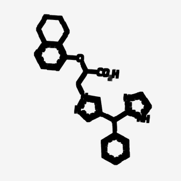 O=C(O)C(Cn1cc(C(c2ccccc2)c2ncc[nH]2)cn1)Oc1cccc2c1CCCC2